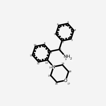 NC(c1ccccc1)c1ccccc1N1CCOCC1